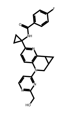 O=C(NC1(c2ccc3c(n2)C2CC2CN3c2ccnc(CO)n2)CC1)c1ccc(F)cc1